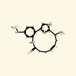 CNc1ccc2c(c1)NC(=O)CC/C=C\CC(N)c1nc-2c[nH]1